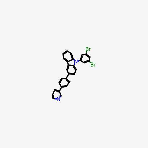 Brc1cc(Br)cc(-n2c3ccccc3c3cc(-c4ccc(-c5cccnc5)cc4)ccc32)c1